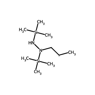 C[CH]CN(N[Si](C)(C)C)[Si](C)(C)C